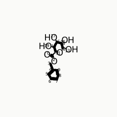 O=C(OCc1ccccc1)[C@@H]1O[C@@H](O)[C@@H](O)[C@H](O)[C@H]1O